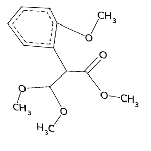 COC(=O)C(c1ccccc1OC)C(OC)OC